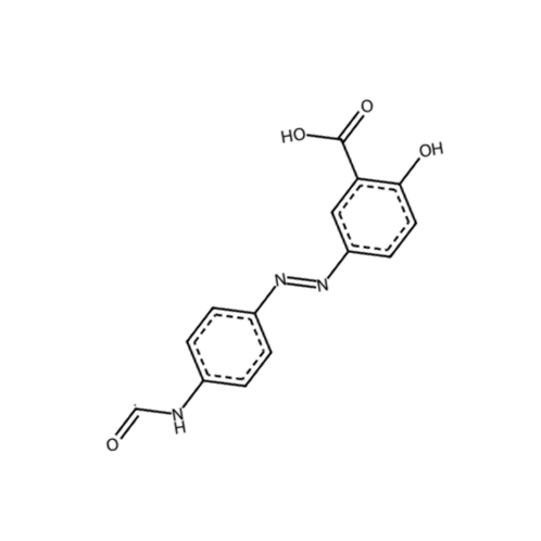 O=[C]Nc1ccc(N=Nc2ccc(O)c(C(=O)O)c2)cc1